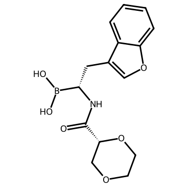 O=C(N[C@@H](Cc1coc2ccccc12)B(O)O)[C@H]1COCCO1